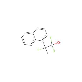 CC(F)(c1cccc2ccccc12)C([O])(F)F